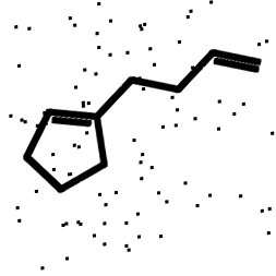 C=CCCC1=CCCC1